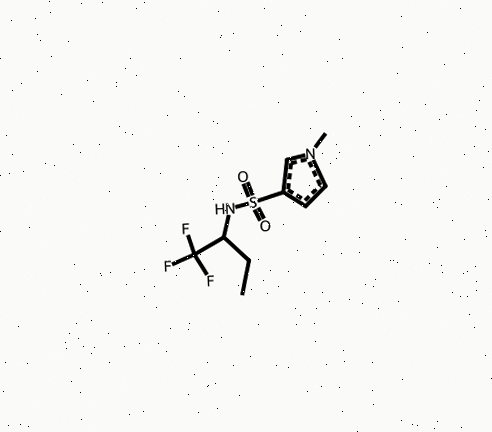 CCC(NS(=O)(=O)c1ccn(C)c1)C(F)(F)F